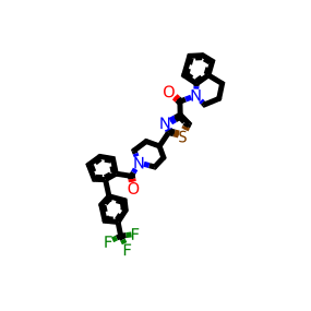 O=C(c1ccccc1-c1ccc(C(F)(F)F)cc1)N1CCC(c2nc(C(=O)N3CCCc4ccccc43)cs2)CC1